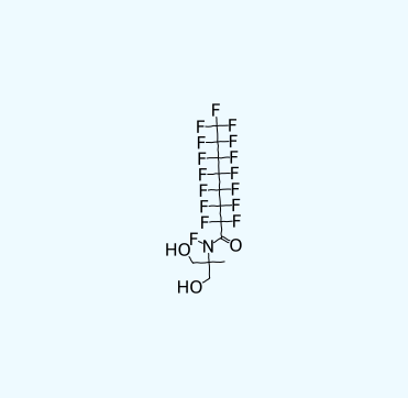 CC(CO)(CO)N(F)C(=O)C(F)(F)C(F)(F)C(F)(F)C(F)(F)C(F)(F)C(F)(F)C(F)(F)F